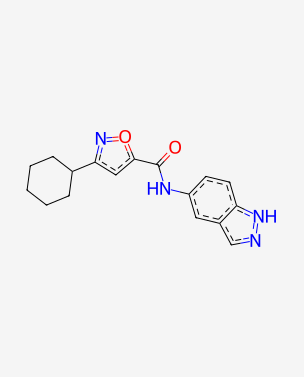 O=C(Nc1ccc2[nH]ncc2c1)c1cc(C2CCCCC2)no1